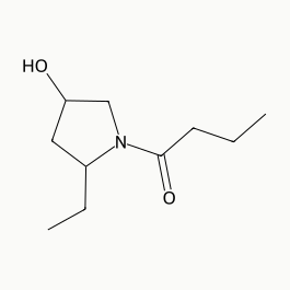 CCCC(=O)N1CC(O)CC1CC